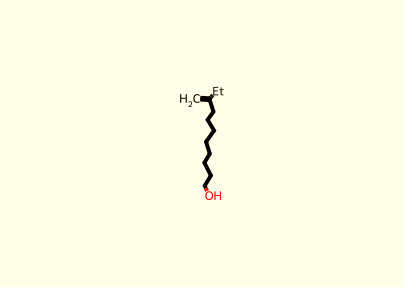 C=C(CC)CCCCCCCCO